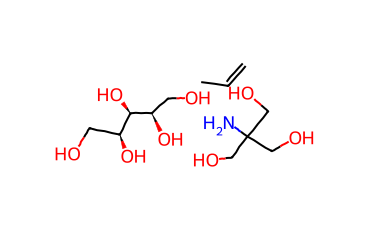 C=CC.NC(CO)(CO)CO.OC[C@@H](O)[C@H](O)[C@@H](O)CO